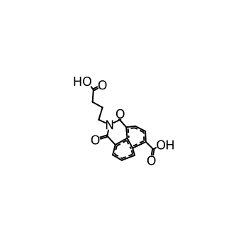 O=C(O)CCCN1C(=O)c2cccc3c(C(=O)O)ccc(c23)C1=O